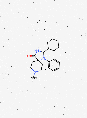 CCCN1CCC2(CC1)C(=O)NC(C1CCCCC1)N2c1ccccc1